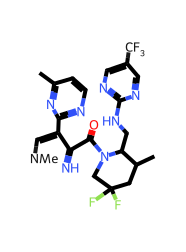 CN/C=C(\C(=N)C(=O)N1CC(F)(F)CC(C)C1CNc1ncc(C(F)(F)F)cn1)c1nccc(C)n1